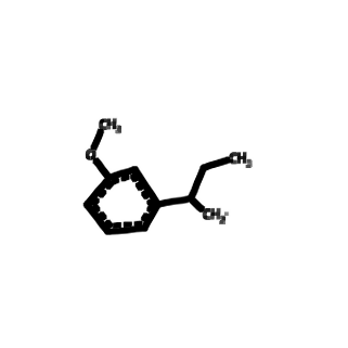 [CH2]C(CC)c1cccc(OC)c1